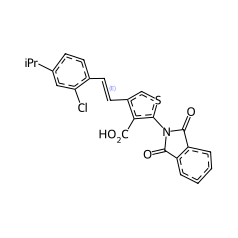 CC(C)c1ccc(/C=C/c2csc(N3C(=O)c4ccccc4C3=O)c2C(=O)O)c(Cl)c1